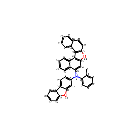 Cc1ccccc1N(c1ccc2c(c1)oc1ccccc12)c1cc2oc3ccc4ccccc4c3c2c2ccccc12